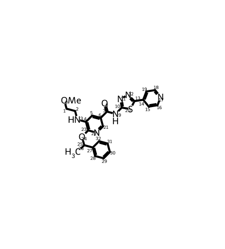 COCCNc1cc(C(=O)Nc2nnc(-c3ccncc3)s2)cnc1OC(C)c1ccccc1